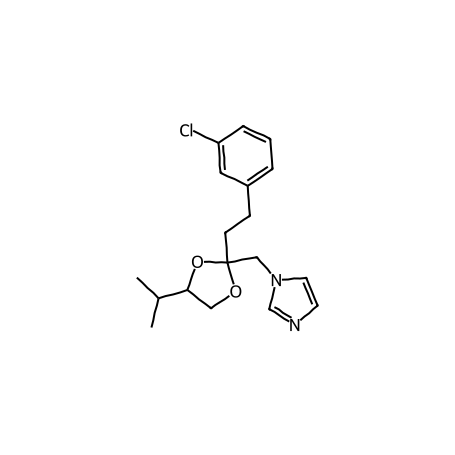 CC(C)C1COC(CCc2cccc(Cl)c2)(Cn2ccnc2)O1